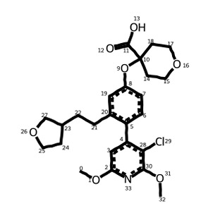 COc1cc(-c2ccc(OC3(C(=O)O)CCOCC3)cc2CCC2CCOC2)c(Cl)c(OC)n1